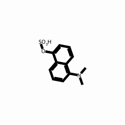 CN(C)c1cccc2c(OS(=O)(=O)O)cccc12